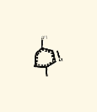 CCC.Cc1ccc(O)cc1